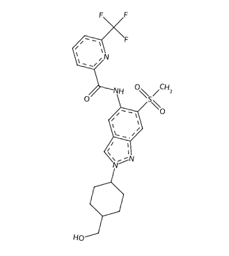 CS(=O)(=O)c1cc2nn(C3CCC(CO)CC3)cc2cc1NC(=O)c1cccc(C(F)(F)F)n1